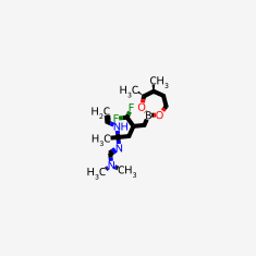 C=CNC(C)(CC(CB1OCC[C@H](C)[C@@H](C)O1)C(F)F)/N=C/N(C)C